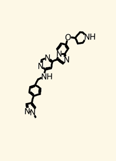 Cn1cc(-c2ccc(CNc3cc(-c4cnc5cc(OC6CCNCC6)ccn45)ncn3)cc2)cn1